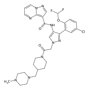 CN1CCN(CC2CCN(C(=O)Cn3cc(NC(=O)c4cnn5cccnc45)c(-c4cc(Cl)ccc4OC(F)F)n3)CC2)CC1